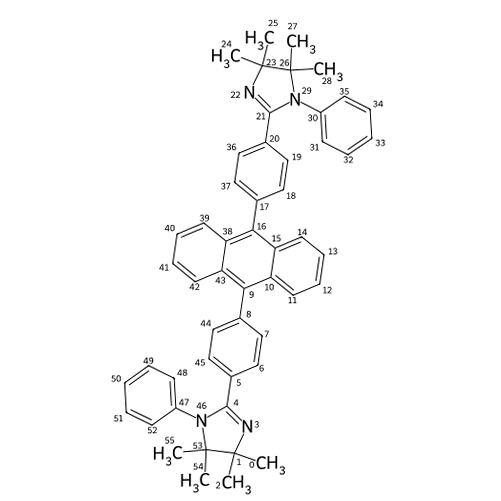 CC1(C)N=C(c2ccc(-c3c4ccccc4c(-c4ccc(C5=NC(C)(C)C(C)(C)N5c5ccccc5)cc4)c4ccccc34)cc2)N(c2ccccc2)C1(C)C